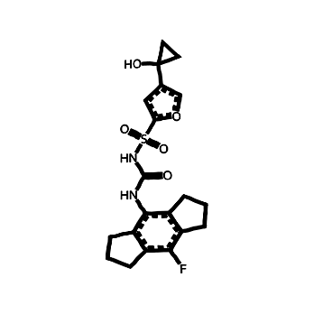 O=C(Nc1c2c(c(F)c3c1CCC3)CCC2)NS(=O)(=O)c1cc(C2(O)CC2)co1